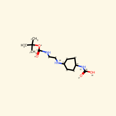 CC(C)(C)OC(=O)NCCNC1CCC(NC(=O)O)CC1